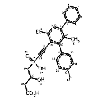 CCc1nc(-c2ccccc2)c(C)c(-c2ccc(F)cc2)c1C#CP(=O)(O)CC(O)CC(=O)O